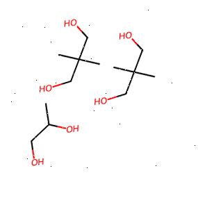 CC(C)(CO)CO.CC(C)(CO)CO.CC(O)CO